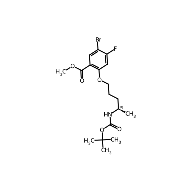 COC(=O)c1cc(Br)c(F)cc1OCCC[C@@H](C)NC(=O)OC(C)(C)C